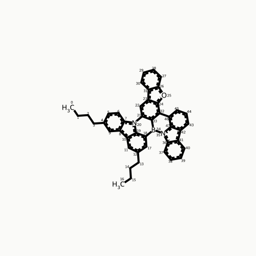 CCCCc1ccc2c(c1)c1cc(CCCC)cc3c1n2-c1cc2c(oc4ccccc42)c2c1B3n1c3ccccc3c3cccc-2c31